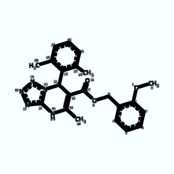 COc1ccccc1COC(=O)C1=C(C)Nc2nnnn2C1c1c(C)cccc1C